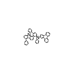 c1ccc(-c2cccc3c2c2ccccc2n3-c2ccccc2-c2ccc(N(c3ccccc3)c3ccc4c5ccccc5c5ccccc5c4c3)cc2)cc1